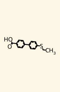 CCSc1ccc(-c2ccc(C(=O)O)cc2)cc1